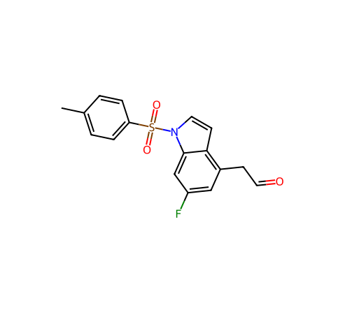 Cc1ccc(S(=O)(=O)n2ccc3c(CC=O)cc(F)cc32)cc1